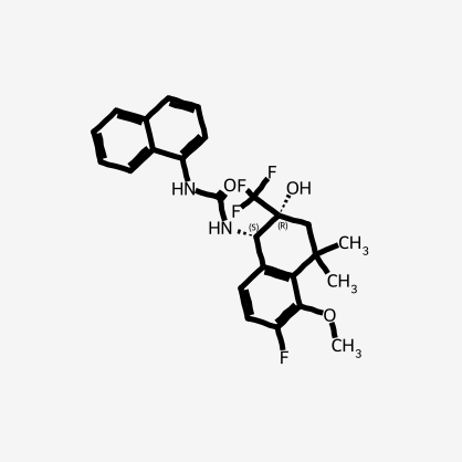 COc1c(F)ccc2c1C(C)(C)C[C@](O)(C(F)(F)F)[C@H]2NC(=O)Nc1cccc2ccccc12